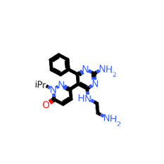 CC(C)n1nc(-c2c(NCCN)nc(N)nc2-c2ccccc2)ccc1=O